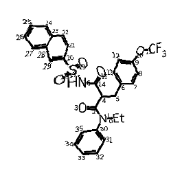 CCN(C(=O)C(Cc1ccc(OC(F)(F)F)cc1)C(=O)NS(=O)(=O)c1ccc2ccccc2c1)c1ccccc1